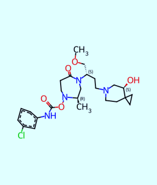 COC[C@H](CCN1CCC2(CC2)[C@H](O)C1)N1C[C@@H](C)N(OC(=O)Nc2cccc(Cl)c2)CCC1=O